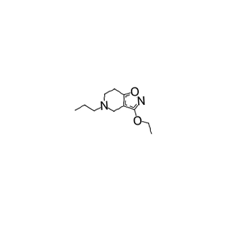 CCCN1CCc2onc(OCC)c2C1